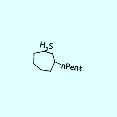 CCCCCC1CCCCCC1.S